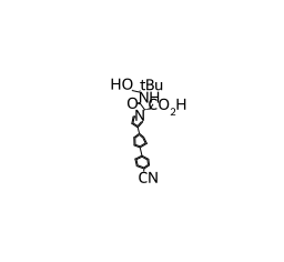 CC(C)(C)[C@@H](CO)NC(=O)[C@@H](CC(=O)O)n1ccc(-c2ccc(-c3ccc(C#N)cc3)cc2)c1